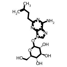 C=C(C)CCc1nc(N)c2ncn(OC3O[C@H](CO)[C@@H](O)[C@H](O)[C@H]3O)c2n1